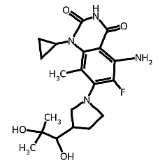 Cc1c(N2CCC(C(O)C(C)(C)O)C2)c(F)c(N)c2c(=O)[nH]c(=O)n(C3CC3)c12